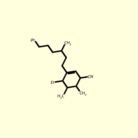 CCC1C(CCC(C)CCCC(C)C)=CC(C#N)C(C)C1C